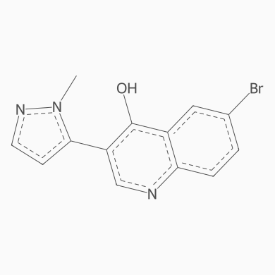 Cn1nccc1-c1cnc2ccc(Br)cc2c1O